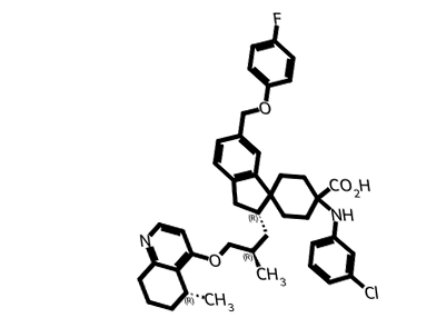 C[C@@H](COc1ccnc2c1[C@H](C)CCC2)C[C@@H]1Cc2ccc(COc3ccc(F)cc3)cc2C12CCC(Nc1cccc(Cl)c1)(C(=O)O)CC2